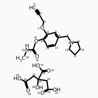 C#CCOc1cc(CN2CCCC2)ccc1OC(=O)NC.O=C(O)CC(O)(CC(=O)O)C(=O)O